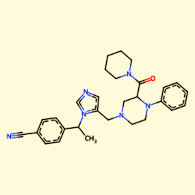 CC(c1ccc(C#N)cc1)n1cncc1CN1CCN(c2ccccc2)C(C(=O)N2CCCCC2)C1